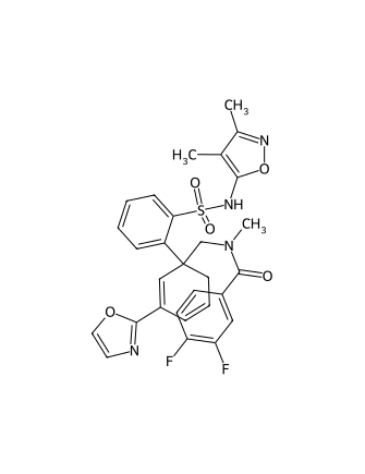 Cc1noc(NS(=O)(=O)c2ccccc2C2(CN(C)C(=O)c3ccc(F)c(F)c3)C=C(c3ncco3)C=CC2)c1C